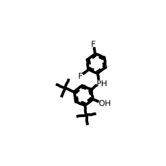 CC(C)(C)c1cc(Pc2ccc(F)cc2F)c(O)c(C(C)(C)C)c1